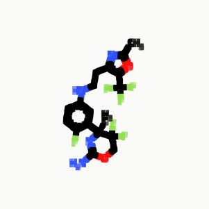 Cc1nc(CCNc2ccc(F)c([C@@]3(C)N=C(N)OCC3(F)F)c2)c(C(F)(F)F)o1